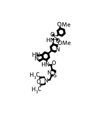 COc1cccc(S(=O)(=O)Nc2cc(-c3cc(NC(=O)c4csc(CN5C[C@@H](C)O[C@@H](C)C5)n4)c4cn[nH]c4c3)cnc2OC)c1